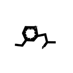 CCc1ccnc(CC(C)F)c1